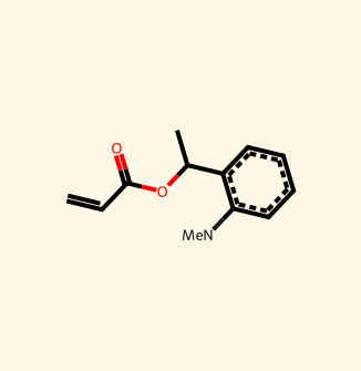 C=CC(=O)OC(C)c1ccccc1NC